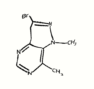 Cc1ncnc2c(Br)nn(C)c12